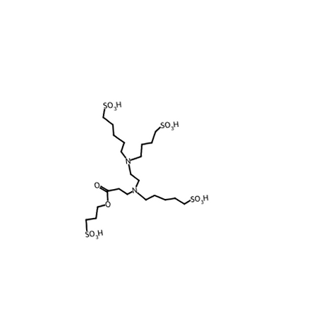 O=C(CCN(CCCCCS(=O)(=O)O)CCN(CCCCCS(=O)(=O)O)CCCCS(=O)(=O)O)OCCCS(=O)(=O)O